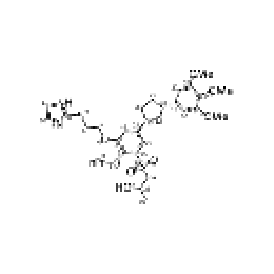 CCCOc1c(OCCSc2ncc[nH]2)cc([C@H]2CC[C@H](c3cc(OC)c(OC)c(OC)c3)O2)cc1S(=O)(=O)CC(C)O